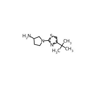 CC(C)(C)c1csc(N2CCC(N)C2)n1